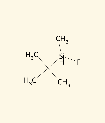 C[SiH](F)C(C)(C)C